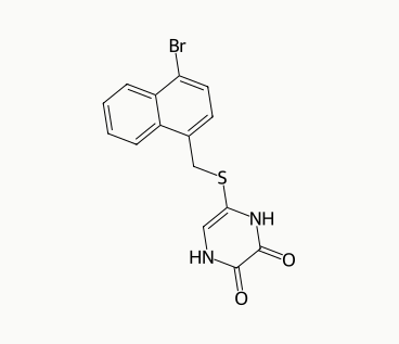 O=c1[nH]cc(SCc2ccc(Br)c3ccccc23)[nH]c1=O